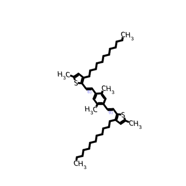 CCCCCCCCCCCCc1cc(C)sc1/C=C/c1cc(C)c(/C=C/c2sc(C)cc2CCCCCCCCCCCC)cc1C